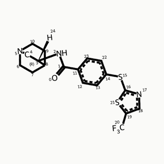 O=C(N[C@H]1CN2CCC1CC2)c1ccc(Sc2ncc(C(F)(F)F)s2)cc1